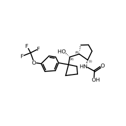 O=C(O)N[C@H]1CCC[C@H]1[C@@H](O)C1(c2ccc(OC(F)(F)F)cc2)CCC1